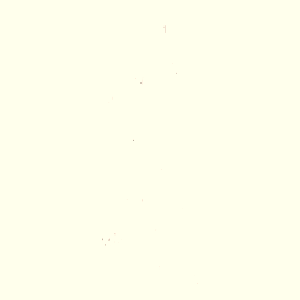 [3H]O[Si](CCCOC1(SC)CCCCC1)(O[3H])O[3H]